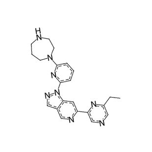 CCc1cncc(-c2cc3c(cn2)cnn3-c2cccc(N3CCCNCC3)n2)n1